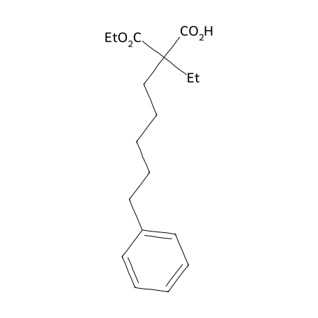 CCOC(=O)C(CC)(CCCCCc1ccccc1)C(=O)O